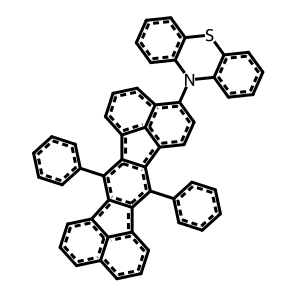 c1ccc(-c2c3c4cccc5cccc(c3c(-c3ccccc3)c3c6ccc(N7c8ccccc8Sc8ccccc87)c7cccc(c23)c76)c54)cc1